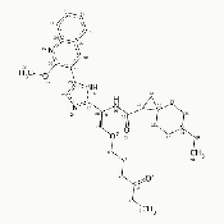 CCC(=O)CCCOC[C@H](NC(=O)C1CC12CCN(CC)CC2)c1ncc(-c2cc3ccccc3nc2OC)[nH]1